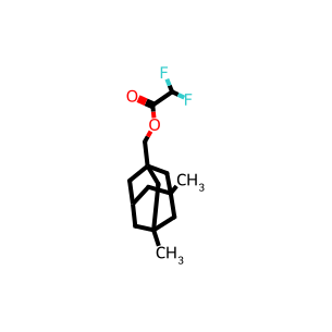 CC12CC3CC(C)(C1)CC(COC(=O)C(F)F)(C3)C2